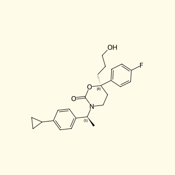 C[C@@H](c1ccc(C2CC2)cc1)N1CC[C@](CCCO)(c2ccc(F)cc2)OC1=O